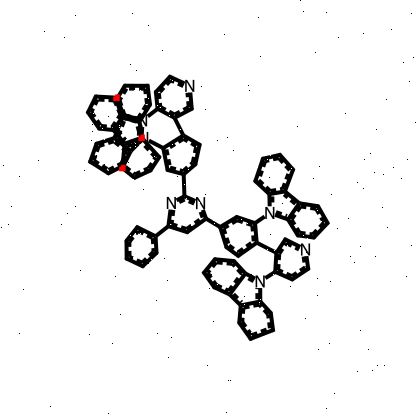 c1ccc(-c2cc(-c3ccc(-c4cnccc4-n4c5ccccc5c5ccccc54)c(-n4c5ccccc5c5ccccc54)c3)nc(-c3ccc(-c4cnccc4-n4c5ccccc5c5ccccc54)c(-n4c5ccccc5c5ccccc54)c3)n2)cc1